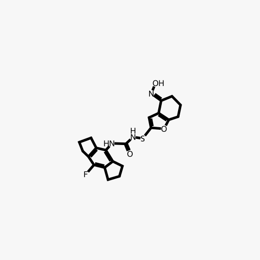 O=C(NSc1cc2c(o1)CCC/C2=N\O)Nc1c2c(c(F)c3c1CCC3)CCC2